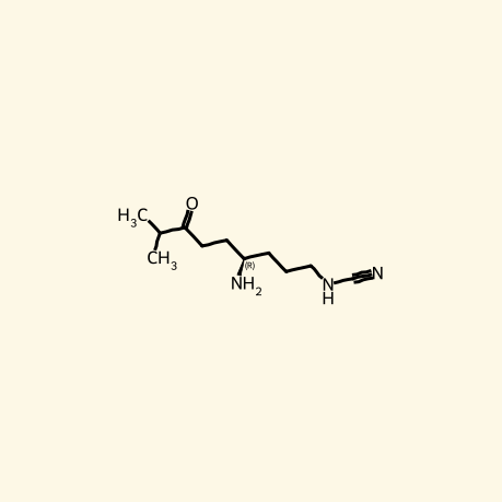 CC(C)C(=O)CC[C@H](N)CCCNC#N